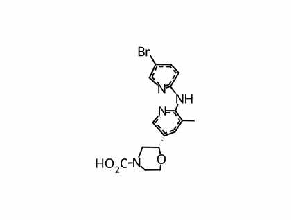 Cc1cc([C@H]2CN(C(=O)O)CCO2)cnc1Nc1ccc(Br)cn1